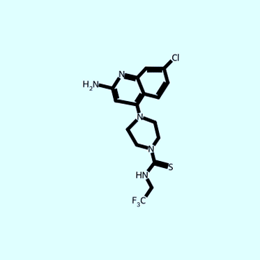 Nc1cc(N2CCN(C(=S)NCC(F)(F)F)CC2)c2ccc(Cl)cc2n1